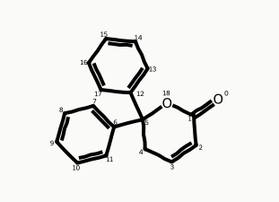 O=C1C=CCC(c2ccccc2)(c2ccccc2)O1